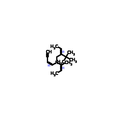 C#C/C=C\N(C/C(=C\C)C(C)(C)C)/C(C)=C\C